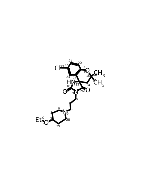 CCOC1CCN(CCCN2C(=O)NC3(CC(C)(C)Oc4ccc(Cl)cc43)C2=O)CC1